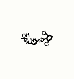 CC1(O)CN(Cc2ccc(N3CC(c4c(Cl)cccc4Cl)C3)cn2)C1